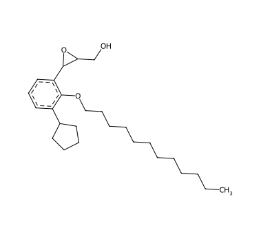 CCCCCCCCCCCCOc1c(C2CCCC2)cccc1C1OC1CO